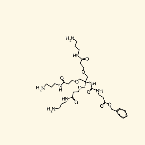 NCCCNC(=O)CCOCC(COCCC(=O)NCCCN)(COCCC(=O)NCCCN)NC(=O)NCCC(=O)OCc1ccccc1